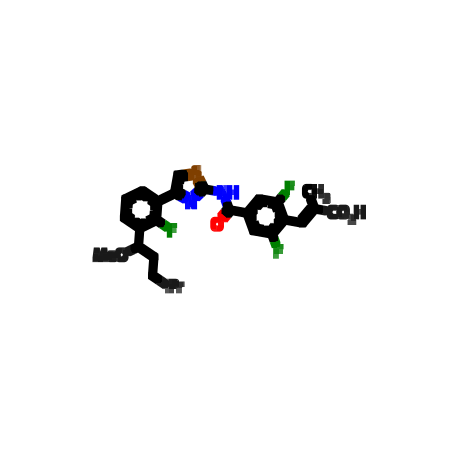 COC(CCC(C)C)c1cccc(-c2csc(NC(=O)c3cc(F)c(C=C(C)C(=O)O)c(F)c3)n2)c1F